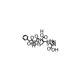 O=C(O)C1=C(CSc2[nH]nnc2C(=O)O)CS[C@H]2C(NC(=O)C(O)c3ccccc3)C(=O)N12